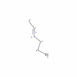 C/C=I/CCCC